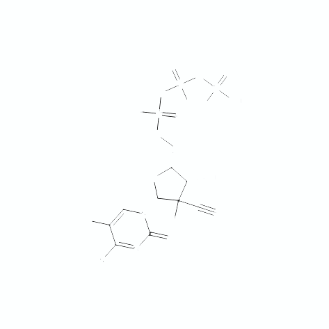 C#CC1(F)[C@@H](O)[C@@H](COP(=O)(O)OP(=O)(O)OP(=O)(O)O)O[C@H]1n1cc(F)c(N)nc1=S